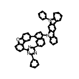 c1ccc(-c2nc(-c3ccccc3)nc(-c3cccc4oc5ccc(-c6ccc(-n7c8ccccc8c8cc9c%10ccccc%10n(-c%10ccccc%10)c9cc87)cc6)cc5c34)n2)cc1